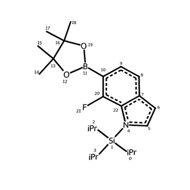 CC(C)[Si](C(C)C)(C(C)C)n1ccc2ccc(B3OC(C)(C)C(C)(C)O3)c(F)c21